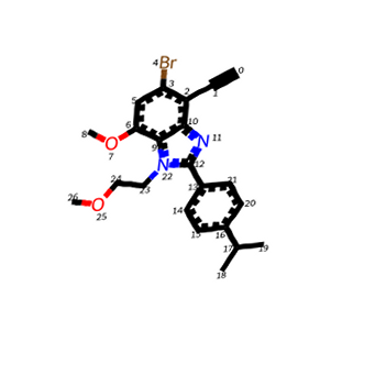 C#Cc1c(Br)cc(OC)c2c1nc(-c1ccc(C(C)C)cc1)n2CCOC